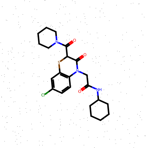 O=C(CN1C(=O)C(C(=O)N2CCCCC2)Sc2cc(Cl)ccc21)NC1CCCCC1